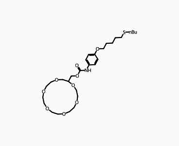 CCCCSCCCCCOc1ccc(NC(=O)OCC2COCCOCCOCCOCCOCCO2)cc1